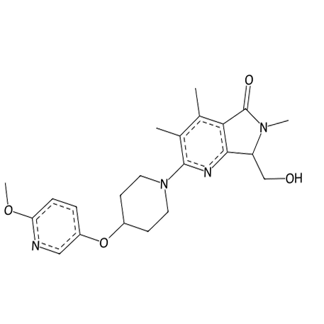 COc1ccc(OC2CCN(c3nc4c(c(C)c3C)C(=O)N(C)C4CO)CC2)cn1